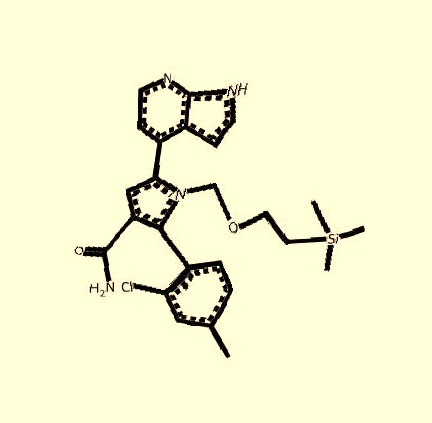 Cc1ccc(-c2c(C(N)=O)cc(-c3ccnc4[nH]ccc34)n2COCC[Si](C)(C)C)c(Cl)c1